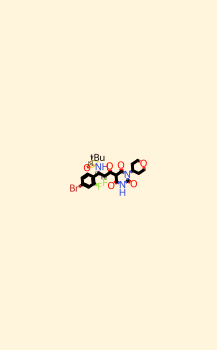 CC(C)(C)[S@@+]([O-])N[C@@H](c1ccc(Br)cc1F)[C@@H](F)C(=O)C1C(=O)NC(=O)N(C2CCOCC2)C1=O